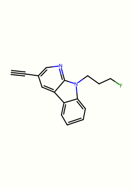 C#Cc1cnc2c(c1)c1ccccc1n2CCCF